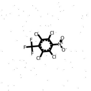 O=[N+]([O-])c1c(Cl)c(Cl)c(C(F)(F)F)c(Cl)c1Cl